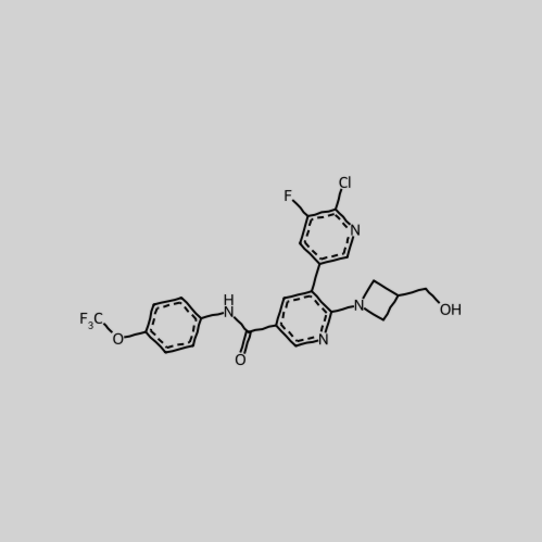 O=C(Nc1ccc(OC(F)(F)F)cc1)c1cnc(N2CC(CO)C2)c(-c2cnc(Cl)c(F)c2)c1